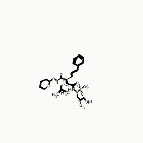 CC(C)C[C@@H](C(=O)NN(C[C@@H](C)CO)S(C)(=O)=O)[C@H](CC=Cc1ccccc1)C(=O)NOC1CCCCO1